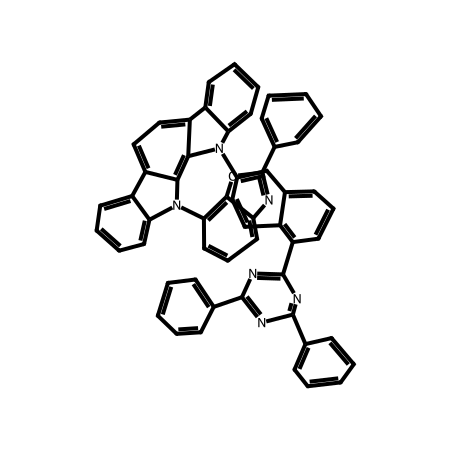 c1ccc(-c2nc(-c3ccccc3)nc(-c3cccc4cc(-n5c6ccccc6c6ccc7c8ccccc8n(-c8cccc9nc(-c%10ccccc%10)oc89)c7c65)ccc34)n2)cc1